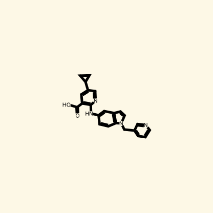 O=C(O)c1cc(C2CC2)cnc1Nc1ccc2c(ccn2Cc2cccnc2)c1